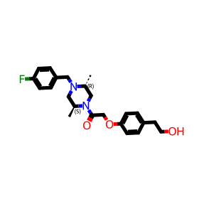 C[C@@H]1CN(C(=O)COc2ccc(CCO)cc2)[C@@H](C)CN1Cc1ccc(F)cc1